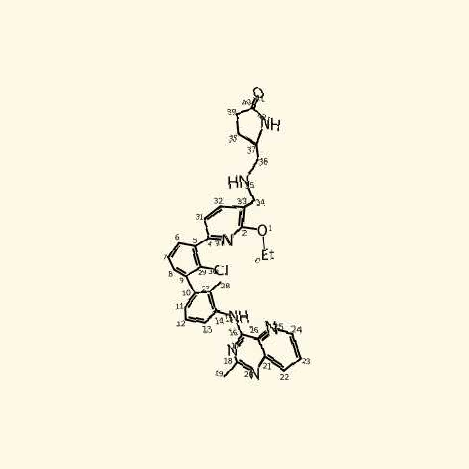 CCOc1nc(-c2cccc(-c3cccc(Nc4nc(C)nc5cccnc45)c3C)c2Cl)ccc1CNCC1CCC(=O)N1